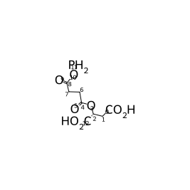 O=C(O)C[C@@H](OC(=O)CCC(=O)OP)C(=O)O